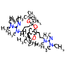 CN=C(N(C)C)N(C)CCC[Si](C)(O[Si](C)(C)C)O[Si](C)(CCCN(C)C(=NC)N(C)C)O[Si](C)(C)C